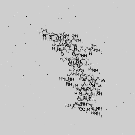 CC[C@H](C)[C@H](NC(=O)[C@H](CCCNC(=N)N)NC(=O)[C@H](CC(N)=O)NC(=O)[C@H](CCCCN)NC(=O)[C@H](CCCNC(=N)N)NC(=O)[C@H](CCC(N)=O)NC(=O)[C@@H](NC(=O)[C@H](CS)NC(=O)[C@H](CCSC)NC(=O)[C@@H]1CCCN1)[C@@H](C)O)C(=O)N[C@@H](CCCNC(=N)N)C(=O)N[C@@H](CC(C)C)C(=O)N[C@@H](CS)C(=O)N[C@@H](C)C(=O)N[C@@H](CCCNC(=N)N)C(=O)N[C@@H](CC(=O)O)C(=O)O